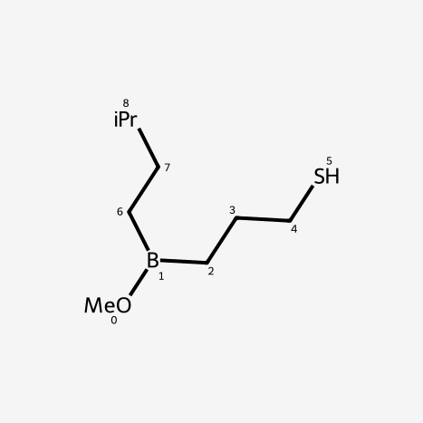 COB(CCCS)CCC(C)C